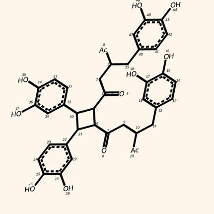 CC(=O)C(CC(=O)C1C(C(=O)CC(Cc2ccc(O)c(O)c2)C(C)=O)C(c2ccc(O)c(O)c2)C1c1ccc(O)c(O)c1)Cc1ccc(O)c(O)c1